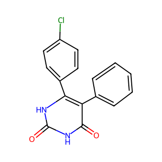 O=c1[nH]c(-c2ccc(Cl)cc2)c(-c2ccccc2)c(=O)[nH]1